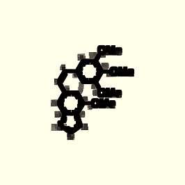 COc1cc(/C=C\c2cc(OC)c3ccsc3c2)cc(OC)c1OC